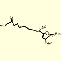 CCCCCC1OC(C(CCCCCCCC(=O)OC)OC(C)=O)CC1OC(C)=O